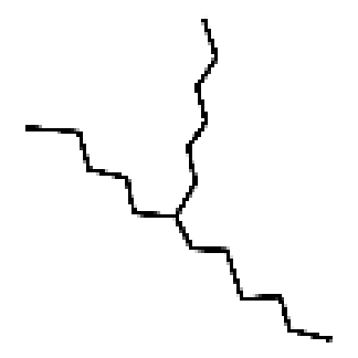 CCCCCCC(CCCCC)CCCCCC